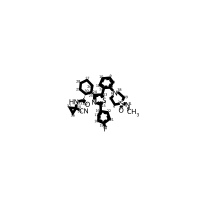 CN=S1(=O)CCN(c2ccccc2-c2sc(-c3ccc(F)cc3)nc2[C@@H]2CCCC[C@H]2C(=O)NC2(C#N)CC2)CC1